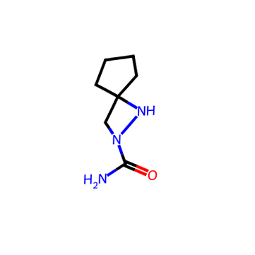 NC(=O)N1CC2(CCCC2)N1